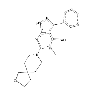 Cn1c(N2CCC3(CCOC3)CC2)nc2[nH]nc(-c3ccccc3)c2c1=O